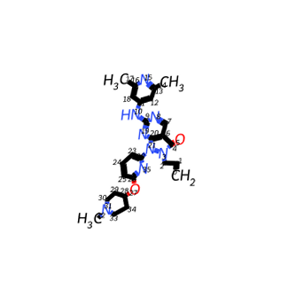 C=CCn1c(=O)c2cnc(Nc3cc(C)nc(C)c3)nc2n1-c1cccc(OC2CCN(C)CC2)n1